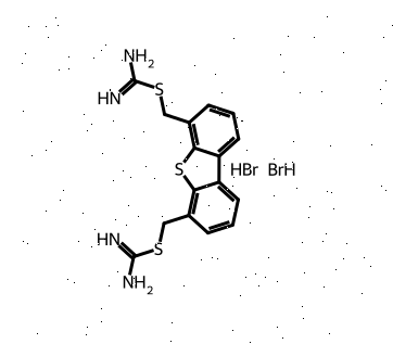 Br.Br.N=C(N)SCc1cccc2c1sc1c(CSC(=N)N)cccc12